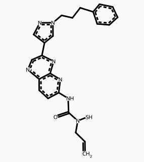 C=CCN(S)C(=O)Nc1ccc2ncc(-c3cnn(CCCc4ccccc4)c3)nc2n1